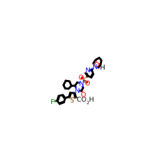 O=C(O)c1sc(-c2ccc(F)cc2)cc1N1C(=O)CN(S(=O)(=O)c2ccc(N3CC4CC[C@H](C3)O4)nc2)CC1C1CCCCC1